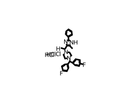 Cc1[nH]c(-c2ccccc2)nc1C(C)N1CCN(C(c2ccc(F)cc2)c2ccc(F)cc2)CC1.Cl.Cl.Cl